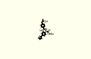 CC(O)Cc1ccc(C(=O)Nc2cc(-c3cccs3)ccc2NC(=O)OC(C)(C)C)cc1